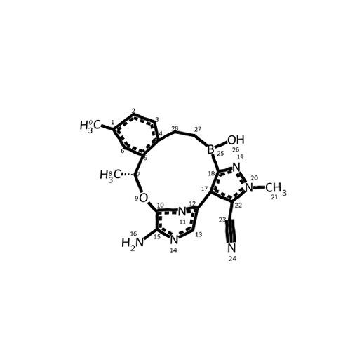 Cc1ccc2c(c1)[C@@H](C)Oc1nc(cnc1N)-c1c(nn(C)c1C#N)B(O)CC2